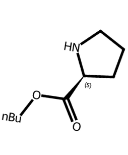 CCCCOC(=O)[C@@H]1CCCN1